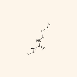 [CH2]CCCNC(=O)NCC